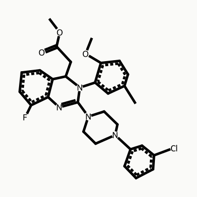 COC(=O)CC1c2cccc(F)c2N=C(N2CCN(c3cccc(Cl)c3)CC2)N1c1cc(C)ccc1OC